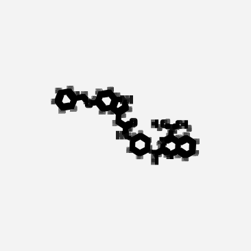 CN(C)c1nc(N[C@H]2CC[C@@H](NC(=O)Cc3c[nH]c4ccc(OCc5ccccc5)cc34)CC2)nc2ccccc12